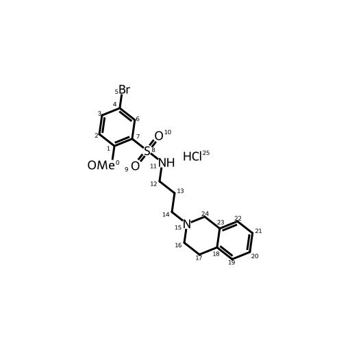 COc1ccc(Br)cc1S(=O)(=O)NCCCN1CCc2ccccc2C1.Cl